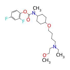 CCN(CCCCOC1CCC(N(C)C(=O)Oc2ccc(F)cc2F)CC1)CCOC